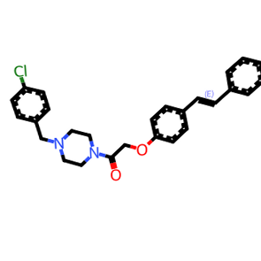 O=C(COc1ccc(/C=C/c2ccccc2)cc1)N1CCN(Cc2ccc(Cl)cc2)CC1